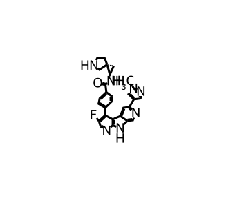 Cn1cc(-c2cc3c(cn2)[nH]c2ncc(F)c(-c4ccc(C(=O)N[C@@H]5C[C@]56CCNC6)cc4)c23)cn1